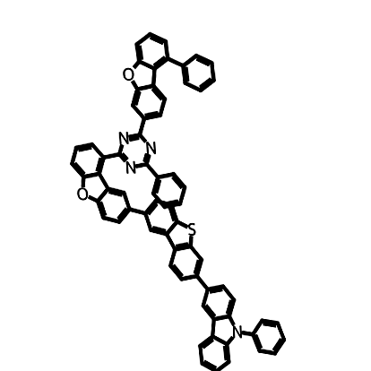 c1ccc(-c2nc(-c3ccc4c(c3)oc3cccc(-c5ccccc5)c34)nc(-c3cccc4oc5ccc(-c6ccc7sc8cc(-c9ccc%10c(c9)c9ccccc9n%10-c9ccccc9)ccc8c7c6)cc5c34)n2)cc1